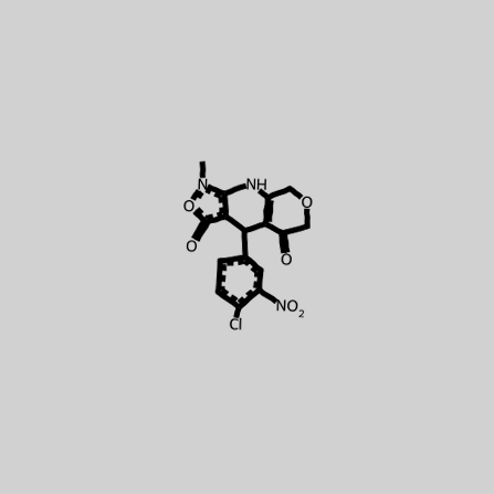 Cn1oc(=O)c2c1NC1=C(C(=O)COC1)C2c1ccc(Cl)c([N+](=O)[O-])c1